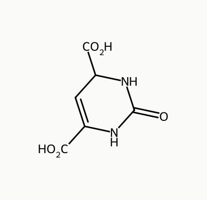 O=C1NC(C(=O)O)=CC(C(=O)O)N1